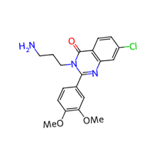 COc1ccc(-c2nc3cc(Cl)ccc3c(=O)n2CCCN)cc1OC